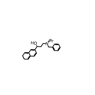 CC(C)N(CC[C@H](O)c1ccc2c(c1)=CCCC=2)Cc1ccccc1